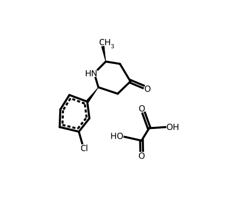 C[C@H]1CC(=O)C[C@@H](c2cccc(Cl)c2)N1.O=C(O)C(=O)O